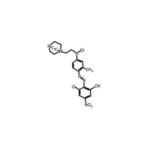 CCN(CC[N+]12CCN(CC1)CC2)c1ccc(/N=N/c2c(Cl)cc([N+](=O)[O-])cc2C#N)c(C)c1